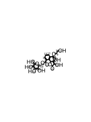 O=C1OC(c2c(C(=O)OCCO)cccc2C(=O)OC[C@H]2O[C@H](O)[C@H](O)[C@@H](O)[C@@H]2O)C(O)=C1O